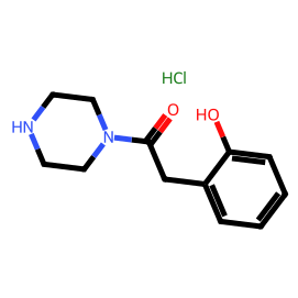 Cl.O=C(Cc1ccccc1O)N1CCNCC1